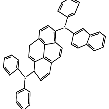 C1=CC(N(c2ccccc2)c2ccccc2)C2=CCc3ccc(N(c4ccccc4)c4ccc5ccccc5c4)c4ccc1c2c34